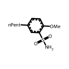 CCCCCc1ccc(OC)c(S(N)(=O)=O)c1